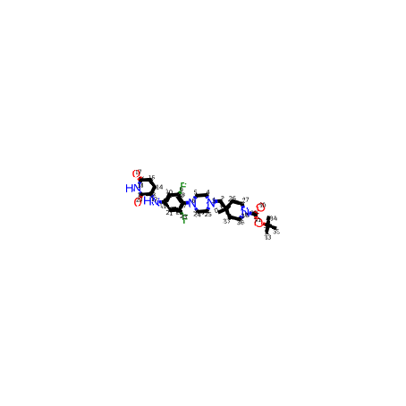 CC1(CN2CCN(c3c(F)cc(NC4CCC(=O)NC4=O)cc3F)CC2)CCN(C(=O)OC(C)(C)C)CC1